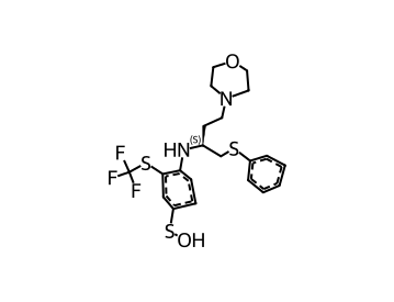 OSc1ccc(N[C@@H](CCN2CCOCC2)CSc2ccccc2)c(SC(F)(F)F)c1